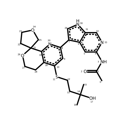 CC(=O)Nc1cc2c(-c3cc(SCCC(C)(C)O)c4c(n3)C3(CCOC3)OCC4)c[nH]c2cn1